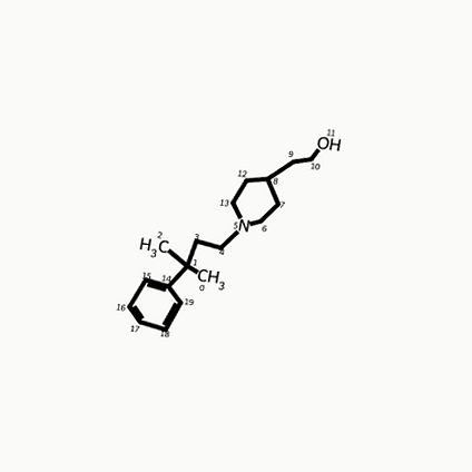 CC(C)(CCN1CCC(CCO)CC1)c1ccccc1